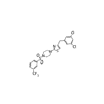 O=S(=O)(c1cccc(C(F)(F)F)c1)N1CCN(c2nc(Cc3cc(Cl)cc(Cl)c3)cs2)CC1